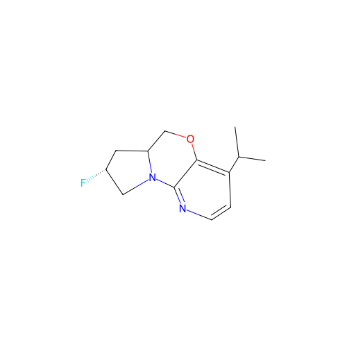 CC(C)c1ccnc2c1OCC1C[C@@H](F)CN21